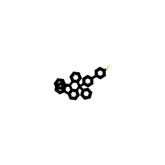 Fc1ccc(-c2ccc(C3(c4ccccc4)c4ccccc4C4(c5ccccc5)c5ccccc5-c5cccc3c54)cc2)cc1